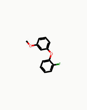 COc1cccc(Oc2c[c]ccc2F)c1